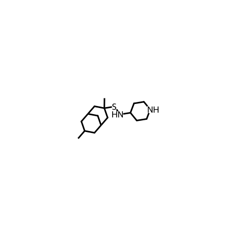 CC1CC2CC(C1)CC(C)(SNC1CCNCC1)C2